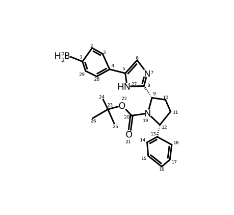 Bc1ccc(-c2cnc([C@@H]3CC[C@H](c4ccccc4)N3C(=O)OC(C)(C)C)[nH]2)cc1